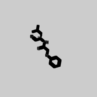 CC(C)C[C@@H](C=O)NC(=O)COc1ccccc1